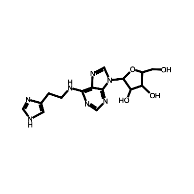 OCC1OC(n2cnc3c(NCCc4c[nH]cn4)ncnc32)C(O)C1O